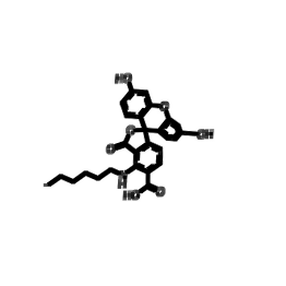 [CH2]CCCCCNc1c(C(=O)O)ccc2c1C(=O)OC21c2ccc(O)cc2Oc2cc(O)ccc21